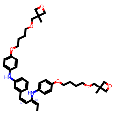 C/C=C(\C=C/c1cccc(Nc2ccc(OCCCCOCC3(C)COC3)cc2)c1)Nc1ccc(OCCCCOCC2(C)COC2)cc1